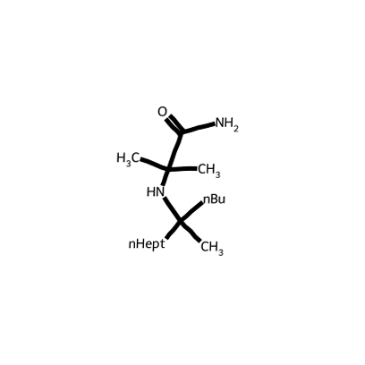 CCCCCCCC(C)(CCCC)NC(C)(C)C(N)=O